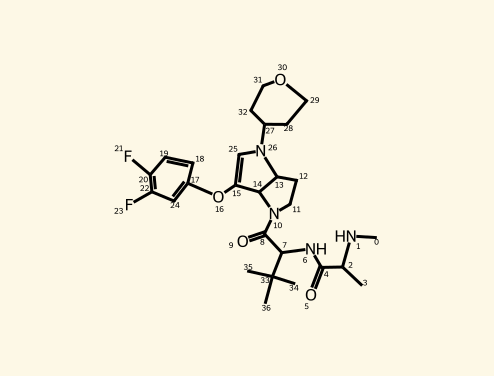 CNC(C)C(=O)NC(C(=O)N1CCC2C1C(Oc1ccc(F)c(F)c1)=CN2C1CCOCC1)C(C)(C)C